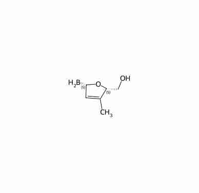 B[C@H]1C=C(C)[C@@H](CO)O1